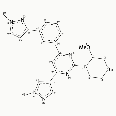 COC1COCCN1c1nc(-c2cccc(-c3ccn(C)n3)c2)cc(-c2cnn(C)c2)n1